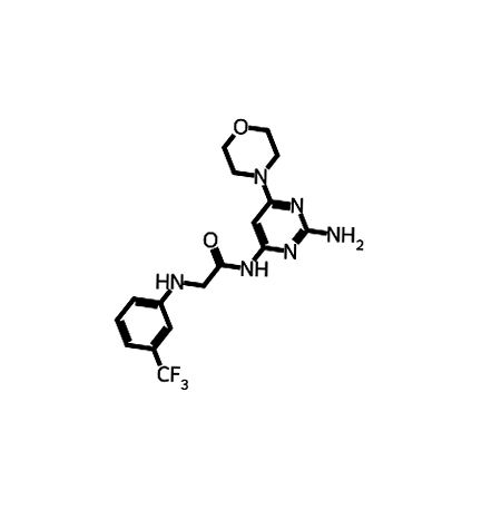 Nc1nc(NC(=O)CNc2cccc(C(F)(F)F)c2)cc(N2CCOCC2)n1